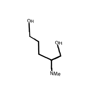 CNC(CO)CCCO